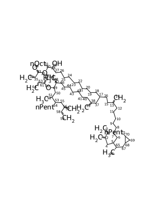 C=CC(=C)CC(CCCCCCCC(=C)CCC(CCCCCCCCCCC(O)C(CCCCCCCC)OC(=O)C=C)CC(=C)CCCCCCCC(C)C(CC(C)C(CCCCC)CC(=C)C=C)OC(=C)C=C)C(C)CC1CC1CCCCC